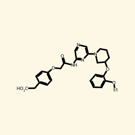 CCOc1ccccc1OC1CCCN(c2cncc(NC(=O)COc3ccc(CC(=O)O)cc3)n2)C1